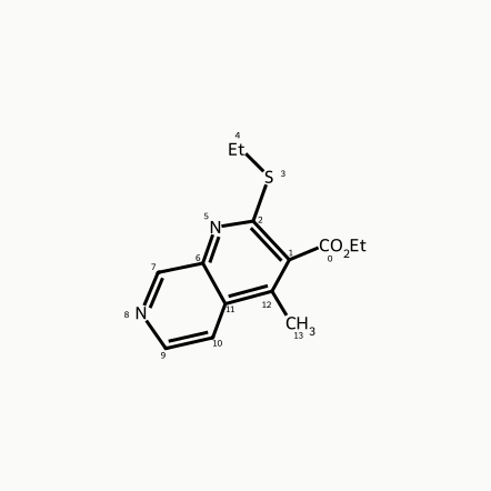 CCOC(=O)c1c(SCC)nc2cnccc2c1C